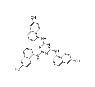 Oc1ccc2c(Nc3nc(Nc4cccc5cc(O)ccc45)nc(Nc4cccc5cc(O)ccc45)n3)cccc2c1